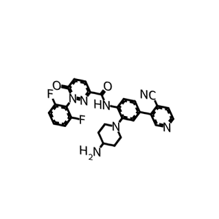 N#Cc1ccncc1-c1ccc(NC(=O)c2ccc(=O)n(-c3c(F)cccc3F)n2)c(N2CCC(N)CC2)c1